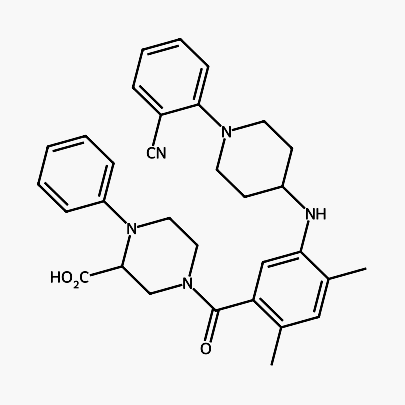 Cc1cc(C)c(C(=O)N2CCN(c3ccccc3)C(C(=O)O)C2)cc1NC1CCN(c2ccccc2C#N)CC1